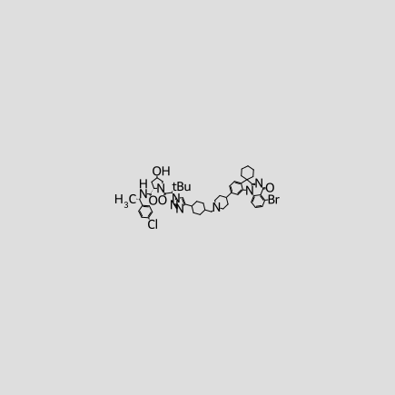 C[C@H](NC(=O)[C@@H]1C[C@@H](O)CN1C(=O)[C@@H](n1cc(C2CCC(CN3CCC(c4ccc5c(c4)-n4c(nc(=O)c6c(Br)cccc64)C54CCCCC4)CC3)CC2)nn1)C(C)(C)C)c1ccc(Cl)cc1